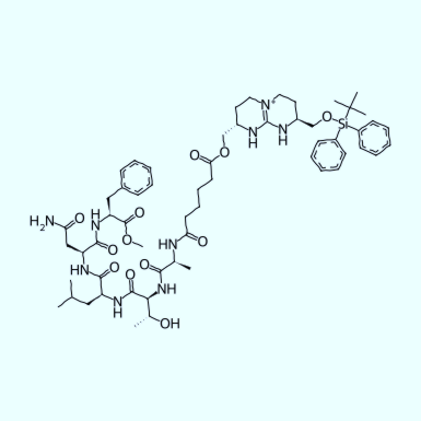 COC(=O)[C@H](Cc1ccccc1)NC(=O)[C@H](CC(N)=O)NC(=O)[C@H](CC(C)C)NC(=O)[C@@H](NC(=O)[C@H](C)NC(=O)CCCCC(=O)OC[C@@H]1CC[N+]2=C(N1)N[C@H](CO[Si](c1ccccc1)(c1ccccc1)C(C)(C)C)CC2)[C@@H](C)O